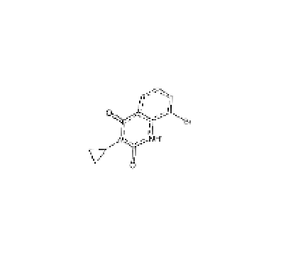 O=c1[nH]c2c(Br)cccc2c(=O)n1C1CC1